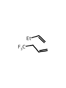 C=CCC.C=CCC(F)(F)F